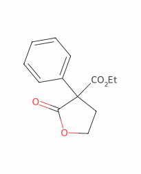 CCOC(=O)C1(c2ccccc2)CCOC1=O